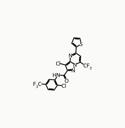 O=C(Nc1cc(C(F)(F)F)ccc1Cl)c1nn2c(C(F)(F)F)cc(-c3cccs3)nc2c1Cl